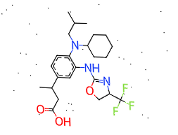 CC(C)CN(c1ccc(C(C)CC(=O)O)cc1NC1=NC(C(F)(F)F)CO1)C1CCCCC1